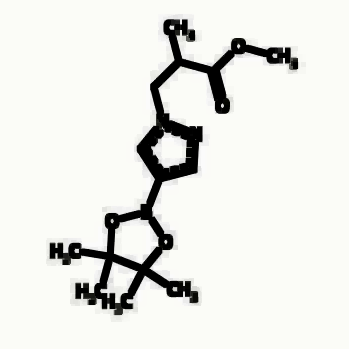 COC(=O)C(C)Cn1cc(B2OC(C)(C)C(C)(C)O2)cn1